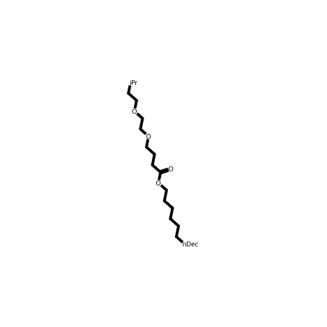 CCCCCCCCCCCCCCCCOC(=O)CCCOCCOCCC(C)C